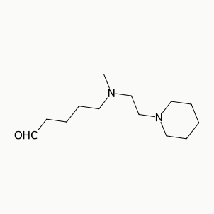 CN(CCCCC=O)CCN1CCCCC1